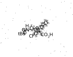 CC(C)(C)OC(=O)NCc1cccc(Oc2cc(Cl)ccc2N(CCC(=O)O)C(=O)c2ccc3c(c2)Cc2ccccc2-3)c1